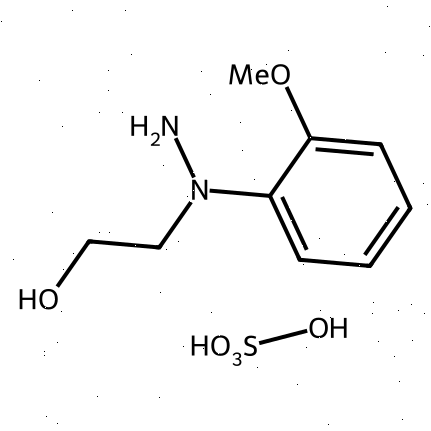 COc1ccccc1N(N)CCO.O=S(=O)(O)O